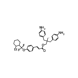 [CH2]C(COC(=O)C=Cc1ccc(OC(F)(F)C2CCCCC2CC)cc1)(Cc1ccc(N)cc1)Cc1ccc(N)cc1